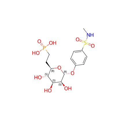 CNS(=O)(=O)c1ccc(O[C@H]2O[C@H](CCP(=O)(O)O)[C@@H](O)[C@H](O)[C@@H]2O)cc1